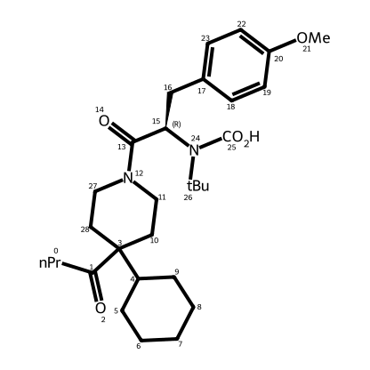 CCCC(=O)C1(C2CCCCC2)CCN(C(=O)[C@@H](Cc2ccc(OC)cc2)N(C(=O)O)C(C)(C)C)CC1